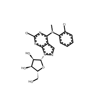 CN(c1ccccc1Cl)c1nc(Cl)nc2c1cnn2[C@@H]1O[C@H](CO)[C@@H](O)[C@H]1O